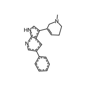 CN1CCC=C(c2c[nH]c3ncc(-c4ccccc4)cc23)C1